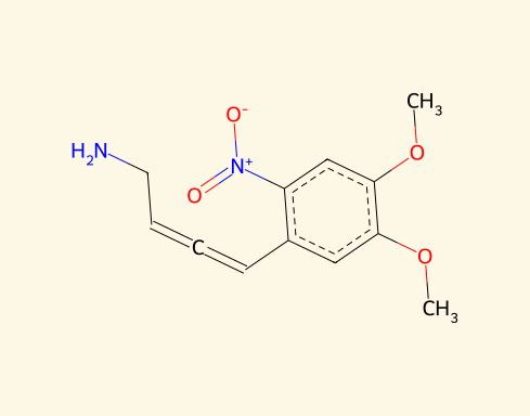 COc1cc(C=C=CCN)c([N+](=O)[O-])cc1OC